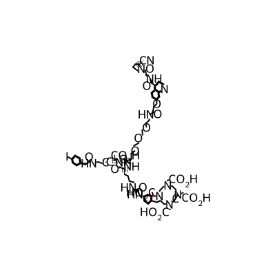 N#C[C@H]1CCCN1C(=O)CNC(=O)c1ccnc2cc(OCC(=O)NCCOCCOCCOCCC(=O)N[C@@H](CCCCNC(=O)Nc3ccc(CC4CN(CC(=O)O)CCN(CC(=O)O)CCN(CC(=O)O)CCN4CC(=O)O)cc3)C(=O)N[C@@H](CCCCNC(=O)Cc3ccc(I)cc3)C(=O)O)ccc12